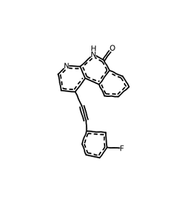 O=c1[nH]c2nccc(C#Cc3cccc(F)c3)c2c2ccccc12